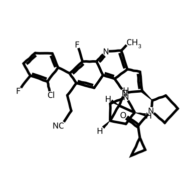 Cc1nc2c(F)c(-c3cccc(F)c3Cl)c(CCC#N)cc2c2c1cc([C@H]1CCCN1C(=O)C1CC1)n2[C@H]1[C@H]2CN[C@@H]1C2